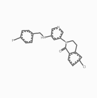 O=C1c2ccc(Cl)cc2CCN1c1cncc(NCc2ccc(F)cc2)c1